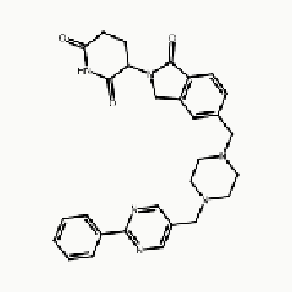 O=C1CCC(N2Cc3cc(CN4CCN(Cc5cnc(-c6ccccc6)nc5)CC4)ccc3C2=O)C(=O)N1